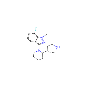 Cn1nc(N2CCCCC2C2CCNCC2)c2cccc(F)c21